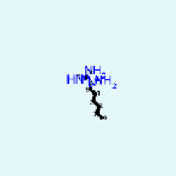 CCCCCCN(N)C(=N)N